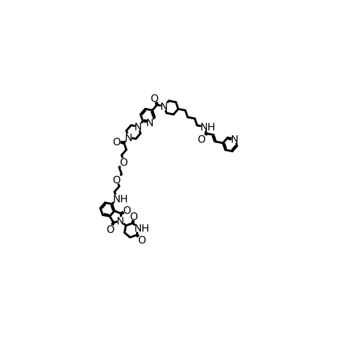 O=C(/C=C/c1cccnc1)NCCCCC1CCN(C(=O)c2ccc(N3CCN(C(=O)CCOCCOCCNc4cccc5c4C(=O)N(C4CCC(=O)NC4=O)C5=O)CC3)nc2)CC1